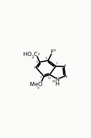 COc1cc(C(=O)O)c(F)c2cc[nH]c12